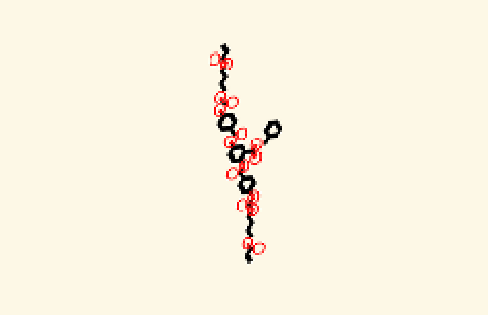 C=CC(=O)OCCCCOC(=O)Oc1ccc(C(=O)Oc2ccc(OC(=O)c3ccc(OC(=O)OCCCCOC(=O)C=C)cc3)c(C(=O)OCc3ccccc3)c2)cc1